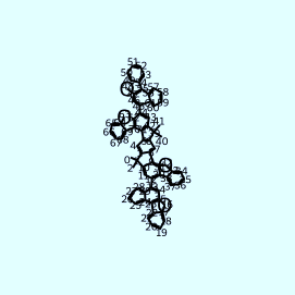 CC1(C)c2cc3c(cc2-c2c1cc(-c1cc4oc5ccccc5c4c4ccccc14)c1c2oc2ccccc21)C(C)(C)c1cc(-c2cc4oc5ccccc5c4c4ccccc24)c2oc4ccccc4c2c1-3